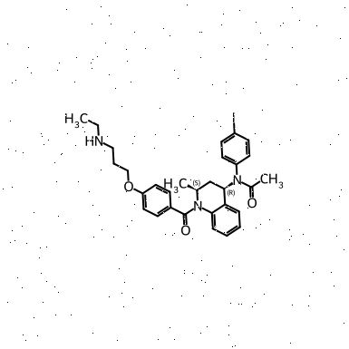 CCNCCCOc1ccc(C(=O)N2c3ccccc3[C@H](N(C(C)=O)c3ccc(I)cc3)C[C@@H]2C)cc1